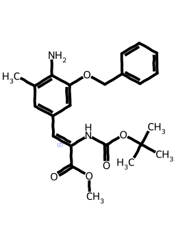 COC(=O)/C(=C/c1cc(C)c(N)c(OCc2ccccc2)c1)NC(=O)OC(C)(C)C